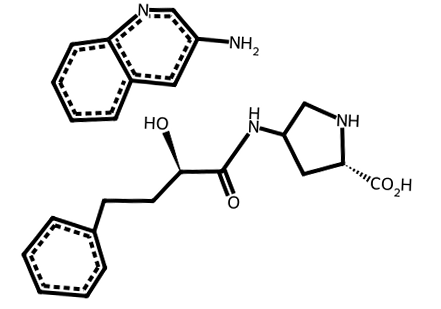 Nc1cnc2ccccc2c1.O=C(NC1CN[C@H](C(=O)O)C1)[C@H](O)CCc1ccccc1